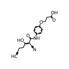 C#CCC/C(O)=C(\C#N)C(=O)Nc1ccc(OCCC(=O)O)cc1